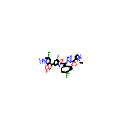 CCn1nccc1C(=O)N[C@H](c1nc2cc([C@@H](COC)c3cc(F)c[nH]c3=O)cc(F)c2o1)C1CCC(F)CC1